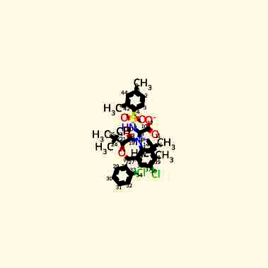 Cc1ccc(S(=O)(=O)NC(C(=O)[O-])[N+]2(CC(C)(C)C)C(=O)[C@H](C(C)(C)C)O[C@@H](c3ccccc3Cl)c3cc(Cl)ccc32)c(C)c1